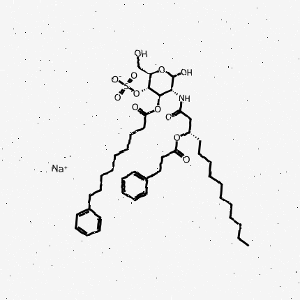 CCCCCCCCCCC[C@@H](CC(=O)N[C@H]1C(O)O[C@H](CO)[C@@H](OS(=O)(=O)[O-])[C@@H]1OC(=O)CCCCCCCCc1ccccc1)OC(=O)CCc1ccccc1.[Na+]